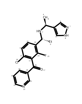 CC[C@@H](N[C@@H](C)c1cn[nH]c1)c1ccc(Cl)c(C(=O)c2cccnc2)c1F